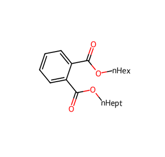 CCCCCCCOC(=O)c1ccccc1C(=O)OCCCCCC